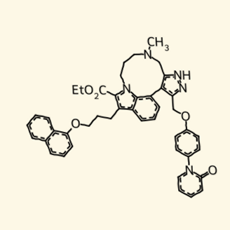 CCOC(=O)c1c(CCCOc2cccc3ccccc23)c2cccc3c2n1CCCN(C)Cc1[nH]nc(COc2ccc(-n4ccccc4=O)cc2)c1-3